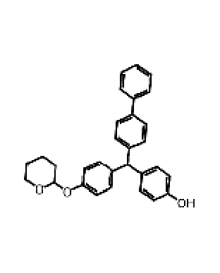 Oc1ccc(C(c2ccc(OC3CCCCO3)cc2)c2ccc(-c3ccccc3)cc2)cc1